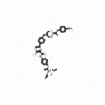 CCOP(=O)(OCC)C(C)Sc1ccc(NC(=O)c2nc(-c3ccc(CC4COP(C(C)Sc5ccc(N)cc5)OC4)cc3)cnc2N)cc1